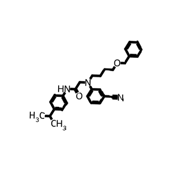 CC(C)c1ccc(NC(=O)CN(CCCCOCc2ccccc2)c2cccc(C#N)c2)cc1